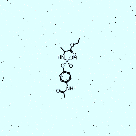 CCOC(=O)C(C)NP(=O)(O)Oc1ccc(NC(C)=O)cc1